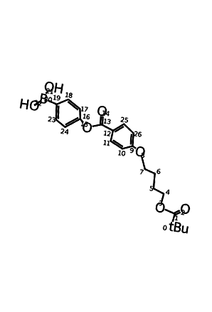 CC(C)(C)C(=O)OCCCCOc1ccc(C(=O)Oc2ccc(B(O)O)cc2)cc1